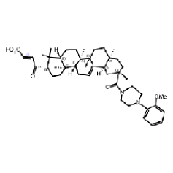 COc1ccccc1N1CCN(C(=O)[C@@]2(C)CC[C@]3(C)CC[C@]4(C)C(=CC[C@@H]5[C@@]6(C)CC[C@H](C(=O)/C=C/C(=O)O)C(C)(C)[C@@H]6CC[C@]54C)[C@@H]3C2)CC1